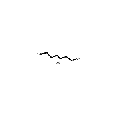 CCCCCCCCCCO.[Nd]